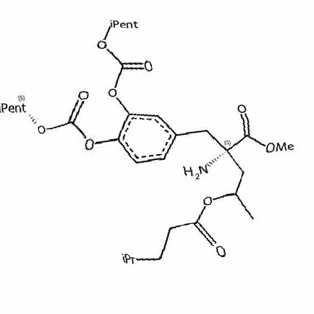 CCCC(C)OC(=O)Oc1cc(C[C@](N)(CC(C)OC(=O)CCC(C)C)C(=O)OC)ccc1OC(=O)O[C@@H](C)CCC